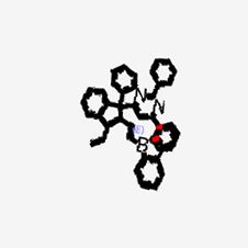 C=CC1=C(/C=C/B2c3ccccc3-c3ccccc32)C(c2ccccc2)(c2cc(-c3ccccc3)nc(-c3ccccc3)n2)c2ccccc21